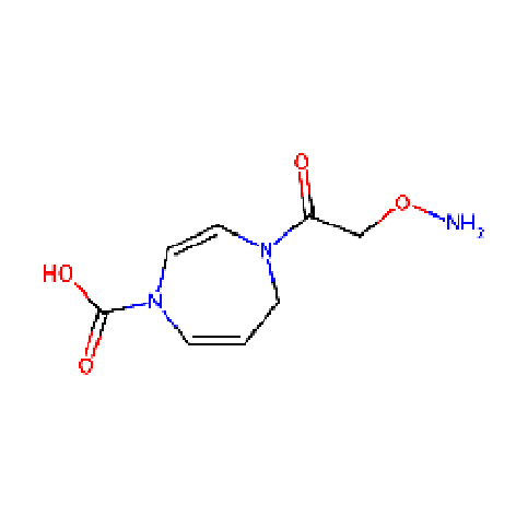 NOCC(=O)N1C=CN(C(=O)O)C=CC1